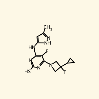 Cc1cc(Nc2nc(S)nc(N3CC(F)(C4CC4)C3)c2F)[nH]n1